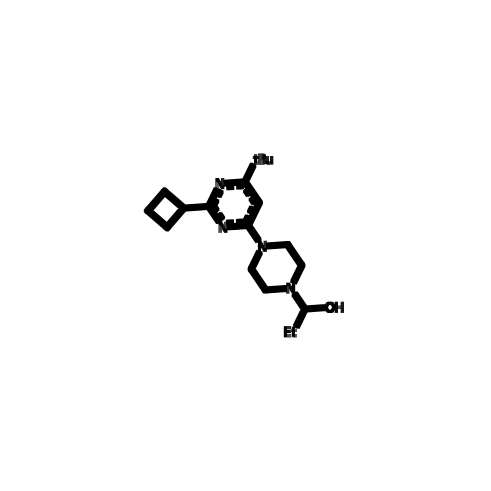 CCC(O)N1CCN(c2cc(C(C)(C)C)nc(C3CCC3)n2)CC1